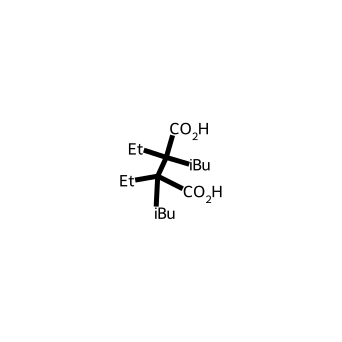 CCC(C)C(CC)(C(=O)O)C(CC)(C(=O)O)C(C)CC